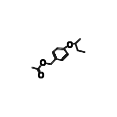 CCC(C)Oc1ccc(COC(C)=O)cc1